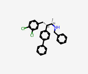 C[C@H](NCc1ccccc1)[C@@H](Cc1ccc(Cl)c(Cl)c1)c1ccc(-c2ccccc2)cc1